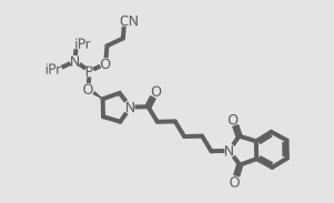 CC(C)N(C(C)C)P(OCCC#N)O[C@@H]1CCN(C(=O)CCCCCN2C(=O)c3ccccc3C2=O)C1